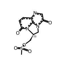 CS(=O)(=O)OC[C@@H]1Cn2c(=O)cnc3ccc(=O)n1c32